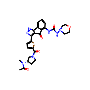 CC(=O)N(C)[C@H]1CCN(C(=O)c2ccc(C3=C4C(=O)c5c(NC(=O)NN6CCOCC6)cccc5C4N=N3)s2)C1